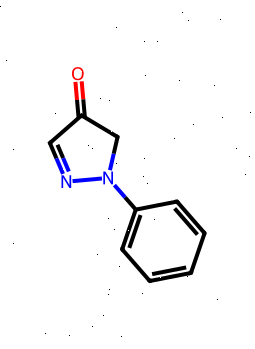 O=C1C=NN(c2ccccc2)C1